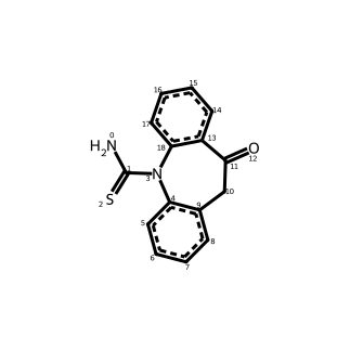 NC(=S)N1c2ccccc2CC(=O)c2ccccc21